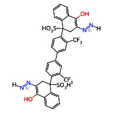 [H]/N=N/C1=C(O)c2ccccc2C(c2ccc(-c3ccc(C4(S(=O)(=O)O)CC(/N=N/[H])=C(O)c5ccccc54)c(C(F)(F)F)c3)cc2C(F)(F)F)(S(=O)(=O)O)C1